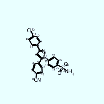 N#Cc1ccc(-c2cc(-c3ccc(Cl)cc3)nn2-c2ccc(S(N)(=O)=O)cc2)cc1